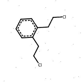 ClCCc1ccccc1CCCl